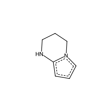 c1cc2n(c1)CCCN2